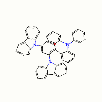 c1ccc(N(c2ccccc2)c2ccccc2-c2ccc(-n3c4ccccc4c4ccccc43)cc2-n2c3ccccc3c3ccccc32)cc1